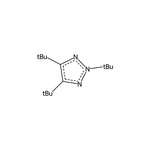 CC(C)(C)c1nn(C(C)(C)C)nc1C(C)(C)C